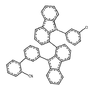 N#Cc1cccc(-n2c3ccccc3c3cccc(-c4cccc5c6ccccc6n(-c6cccc(-c7ccccc7C#N)c6)c45)c32)c1